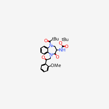 COc1ccccc1C(=O)CN1C(=O)C(NC(=O)OC(C)(C)C)CN(C(=O)C(C)(C)C)c2ccccc21